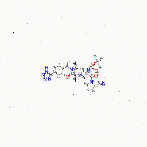 C[C@H](c1ccc(-c2nnn[nH]2)cc1)N1C(=O)[C@@H]2C[C@H]1CN2C[C@H](NC(=O)OC(C)(C)C)C(=O)N1CCC[C@H]1C#N